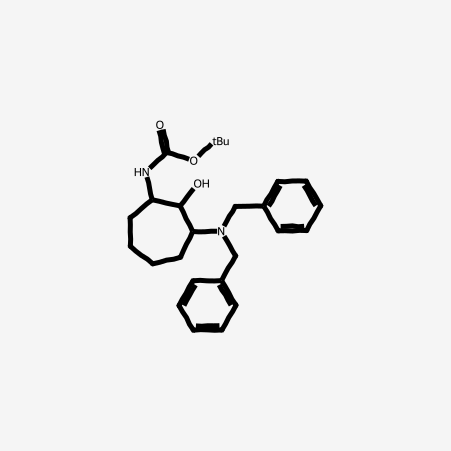 CC(C)(C)OC(=O)NC1CCCCC(N(Cc2ccccc2)Cc2ccccc2)C1O